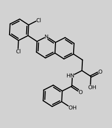 O=C(NC(Cc1ccc2nc(-c3c(Cl)cccc3Cl)ccc2c1)C(=O)O)c1ccccc1O